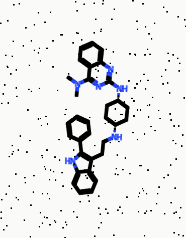 CN(C)c1nc(N[C@H]2CC[C@@H](NCCc3c(-c4ccccc4)[nH]c4ccccc34)CC2)nc2ccccc12